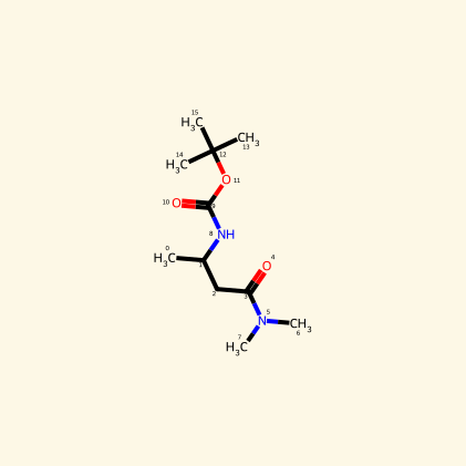 CC(CC(=O)N(C)C)NC(=O)OC(C)(C)C